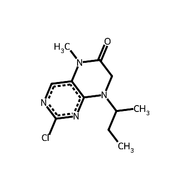 CCC(C)N1CC(=O)N(C)c2cnc(Cl)nc21